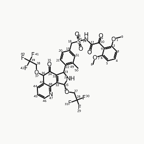 COc1cccc(OC)c1C(=O)C(=O)NS(=O)(=O)Cc1ccc(C2NC(OCC(F)(F)F)C3=C2C(=O)C(OCC(F)(F)F)c2cccnc23)c(C)c1